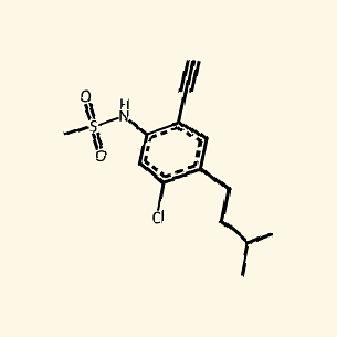 C#Cc1cc(CC[C](C)C)c(Cl)cc1NS(C)(=O)=O